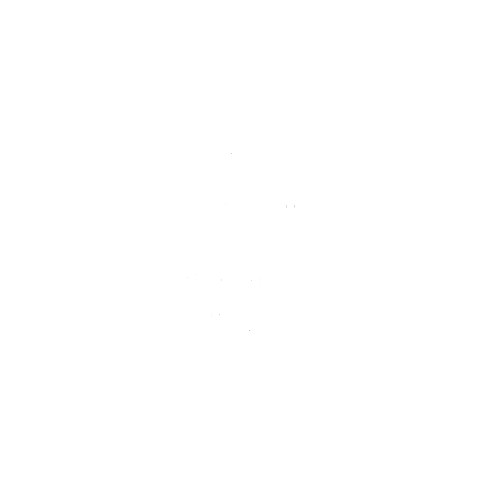 CC(C)(C)OS(=O)(=O)CCS(=O)(=O)OC(C)(C)C